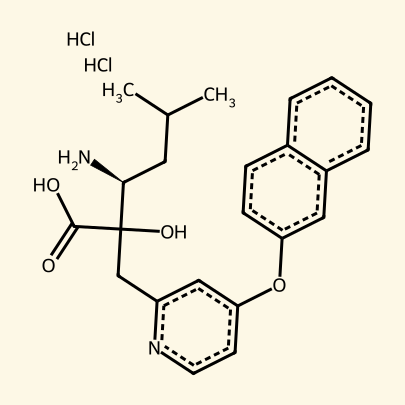 CC(C)C[C@H](N)C(O)(Cc1cc(Oc2ccc3ccccc3c2)ccn1)C(=O)O.Cl.Cl